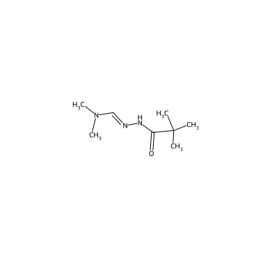 CN(C)C=NNC(=O)C(C)(C)C